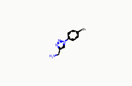 CC(C)c1ccc(-n2cc(CN)nn2)cc1